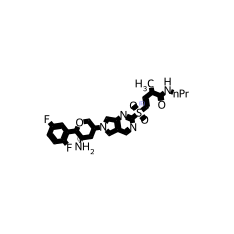 CCCNC(=O)C(C)/C=C/S(=O)(=O)c1ncc2c(n1)CN(C1COC(c3cc(F)ccc3F)[C@@H](N)C1)C2